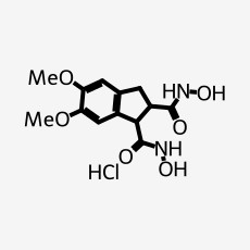 COc1cc2c(cc1OC)C(C(=O)NO)C(C(=O)NO)C2.Cl